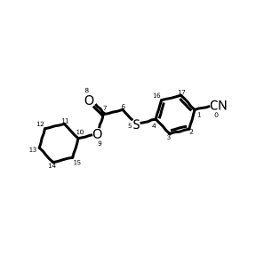 N#Cc1ccc(SCC(=O)OC2CCCCC2)cc1